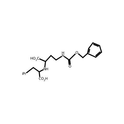 CC(C)CC(NC(CCNC(=O)OCc1ccccc1)C(=O)O)C(=O)O